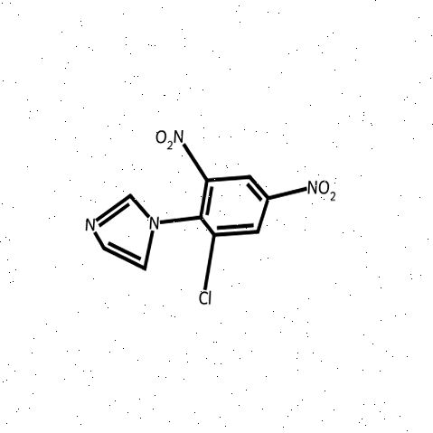 O=[N+]([O-])c1cc(Cl)c(-n2ccnc2)c([N+](=O)[O-])c1